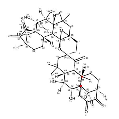 C=C1C(=O)C[C@]23[C@H](O)[C@H]1CC[C@H]2[C@]12C(=O)[C@@]4(CC[C@@]56CC(C)(C)[C@H]7[C@H](O)[C@@]8(O)OC[C@@]7([C@@H]7CC[C@H]9C(=C)C(=O)[C@]78[C@@H]9O)[C@]5(O4)O6)CC(C)(C)[C@H]1[C@H](O)[C@@]3(O)O[C@H]2C